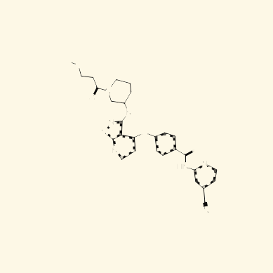 COCCC(=O)N1CCCC(Nc2n[nH]c3nccc(Oc4ccc(C(=O)Nc5cc(C#N)ccn5)cc4)c23)C1